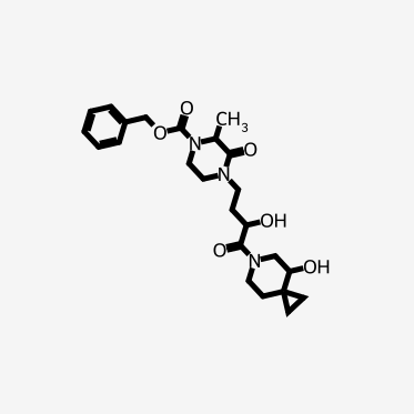 CC1C(=O)N(CCC(O)C(=O)N2CCC3(CC3)C(O)C2)CCN1C(=O)OCc1ccccc1